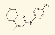 CC(=CC(=O)Nc1ccc(C(F)(F)F)cc1)N1CCOCC1